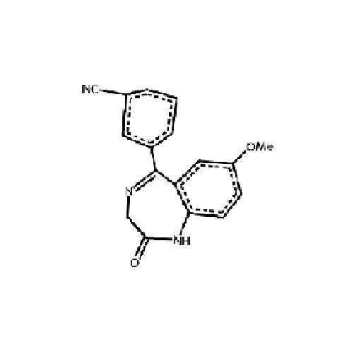 COc1ccc2c(c1)C(c1cccc(C#N)c1)=NCC(=O)N2